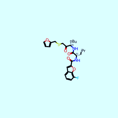 CCCC[C@H](NC(=O)[C@H](CC(C)C)NC(=O)c1cc2cccc(F)c2o1)C(=O)CSCc1ccco1